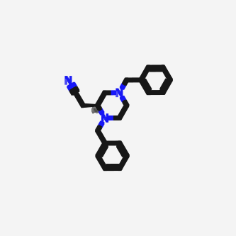 N#CC[C@H]1CN(Cc2ccccc2)CCN1Cc1ccccc1